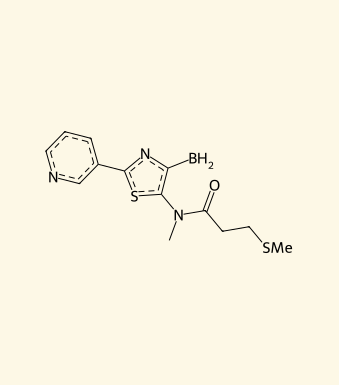 Bc1nc(-c2cccnc2)sc1N(C)C(=O)CCSC